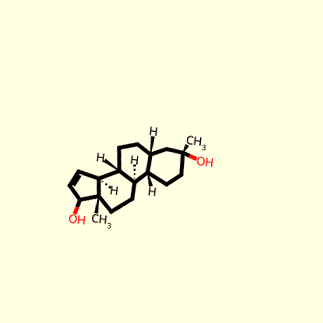 C[C@@]1(O)CC[C@H]2[C@H](CC[C@@H]3[C@@H]2CC[C@]2(C)C(O)C=C[C@@H]32)C1